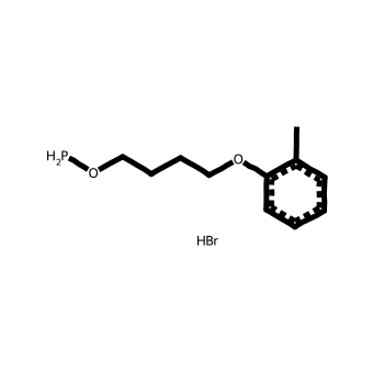 Br.Cc1ccccc1OCCCCOP